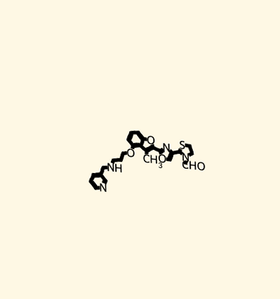 Cc1c(-c2nc(C3SCCN3C=O)co2)oc2cccc(OCCCNCc3cccnc3)c12